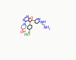 Cl.NCCNc1ccc(-c2oc3ncnc(N4CCC(O)CC4)c3c2-c2ccc(F)cc2)cn1